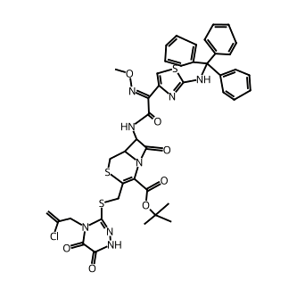 C=C(Cl)Cn1c(SCC2=C(C(=O)OC(C)(C)C)N3C(=O)C(NC(=O)C(=NOC)c4csc(NC(c5ccccc5)(c5ccccc5)c5ccccc5)n4)C3CS2)n[nH]c(=O)c1=O